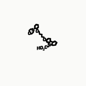 O=C(O)Cn1c2ccccc2c2ccc(OCCCCCOc3ccccc3N3CCOCC3)cc21